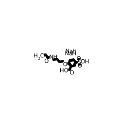 C=CC(=O)NCCCCOc1ccc(S(=O)(=O)O)cc1C(=O)O.[NaH].[NaH]